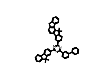 CC1(C)c2ccccc2-c2ccc(-c3nc(-c4cccc(-c5ccccc5)c4)nc(-c4ccc5c(c4)-c4ccc6c(c4C5(C)C)-c4ccccc4C6)n3)cc21